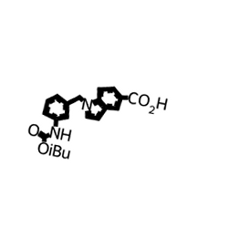 CC(C)COC(=O)Nc1cccc(Cn2ccc3cc(C(=O)O)ccc32)c1